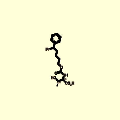 CC(C)C(CCCCOC(=O)N[C@@H](C(=O)O)[C@H](C)O)c1ccccc1